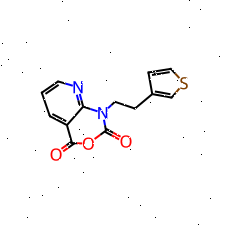 O=c1oc(=O)n(CCc2ccsc2)c2ncccc12